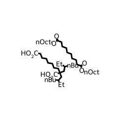 CCCCC(CC)CC(CCCCCCCC(=O)O)(CC(CC)CCCC)C(=O)O.CCCCCCCCOC(=O)CCCCCCCCC(=O)OCCCCCCCC